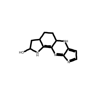 OC1CC2CCC3NC4=CC=NC4=NC3=C2N1